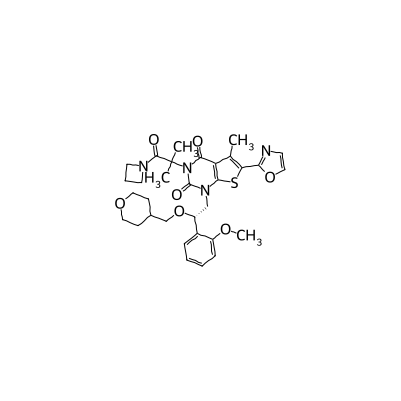 COc1ccccc1[C@@H](Cn1c(=O)n(C(C)(C)C(=O)N2CCC2)c(=O)c2c(C)c(-c3ncco3)sc21)OCC1CCOCC1